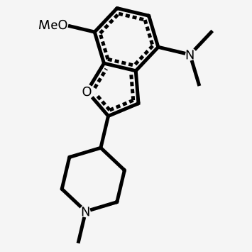 COc1ccc(N(C)C)c2cc(C3CCN(C)CC3)oc12